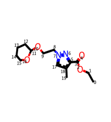 CCOC(=O)c1nn(CCOC2CCCCO2)cc1C